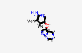 CNc1c(N)ncc(Oc2cnn3ccncc23)c1C#N